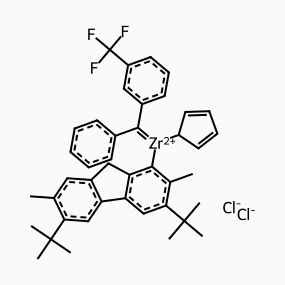 Cc1cc2c(cc1C(C)(C)C)-c1cc(C(C)(C)C)c(C)[c]([Zr+2](=[C](c3ccccc3)c3cccc(C(F)(F)F)c3)[CH]3C=CC=C3)c1C2.[Cl-].[Cl-]